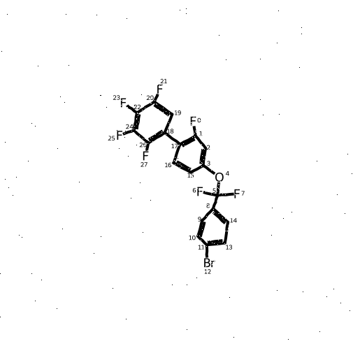 Fc1cc(OC(F)(F)c2ccc(Br)cc2)ccc1-c1cc(F)c(F)c(F)c1F